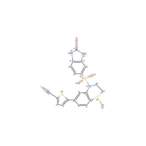 N#Cc1ccc(-c2ccc3c(c2)N(S(=O)(=O)c2ccc4[nH]c(=O)[nH]c4c2)CC[S+]3[O-])s1